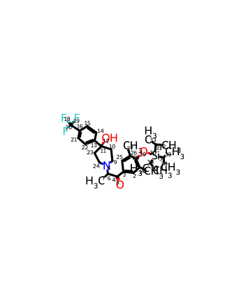 Cc1cc(C(=O)C(C)N2CCC(O)(c3ccc(C(F)(F)F)cc3)CC2)cc(C)c1O[Si](C(C)C)(C(C)C)C(C)C